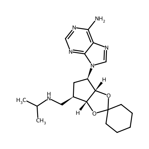 CC(C)NC[C@H]1C[C@@H](n2cnc3c(N)ncnc32)[C@@H]2OC3(CCCCC3)O[C@H]12